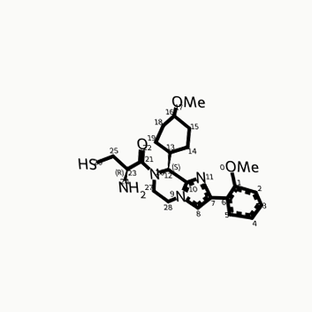 COc1ccccc1-c1cn2c(n1)[C@H](C1CCC(OC)CC1)N(C(=O)[C@@H](N)CS)CC2